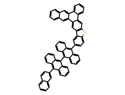 c1ccc2cc(-c3c4ccccc4c(-c4c5ccccc5c(-c5ccc6sc7cc8c9ccccc9c9cc%10ccccc%10cc9c8cc7c6c5)c5ccccc45)c4ccccc34)ccc2c1